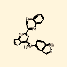 c1ccc2nc(-c3nc(Nc4ccc5[nH]ncc5c4)c4sccc4n3)cnc2c1